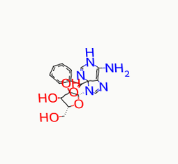 NC1=C2N=CN([C@@H]3O[C@H](CO)[C@@H](O)[C@H]3O)C2(C(=O)c2ccccc2)N=CN1